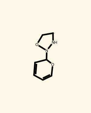 [CH]1CON(C2C=CC=CO2)N1